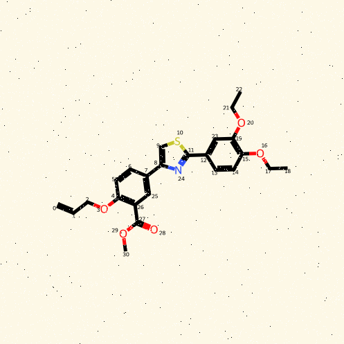 C=CCOc1ccc(-c2csc(-c3ccc(OCC)c(OCC)c3)n2)cc1C(=O)OC